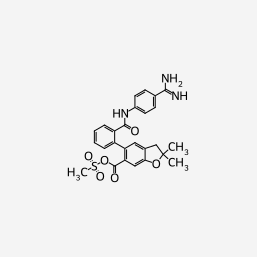 CC1(C)Cc2cc(-c3ccccc3C(=O)Nc3ccc(C(=N)N)cc3)c(C(=O)OS(C)(=O)=O)cc2O1